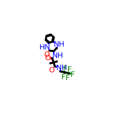 CC(C)(C(=O)NCC(F)(F)C(F)(F)F)C(=O)NC1CNc2ccccc2NC1=O